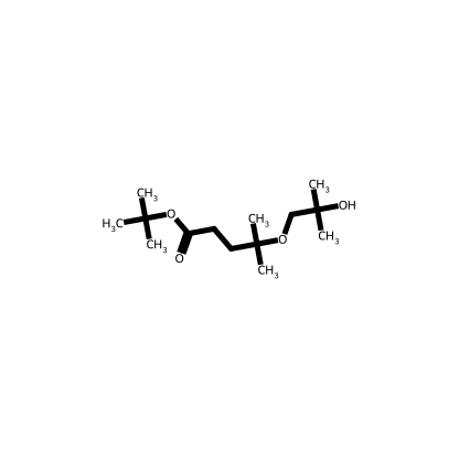 CC(C)(O)COC(C)(C)CCC(=O)OC(C)(C)C